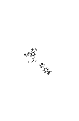 COc1ccc(CCN(C)CCCOc2noc(-c3ccc([N+](=O)[O-])cc3)n2)cc1OC